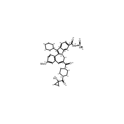 COc1ccc2c(c1)C=C(C(=O)N1CCN(C(=O)C3(O)CC3)CC1)Cn1c-2c(C2CCCCC2)c2ccc(C(=O)N[SH](=O)=O)cc21